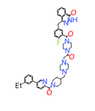 CCc1cccc(-c2ccc(C(=O)N3CCC(CN4CCN(CC(=O)N5CCN(C(=O)c6cc(Cc7n[nH]c(=O)c8ccccc78)ccc6F)CC5)CC4)CC3)nc2)c1